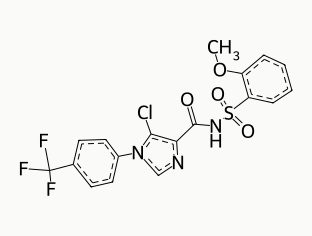 COc1ccccc1S(=O)(=O)NC(=O)c1ncn(-c2ccc(C(F)(F)F)cc2)c1Cl